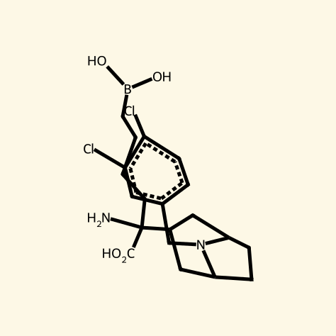 NC(CCCCB(O)O)(C(=O)O)C1CC2CCC(C1)N2Cc1ccc(Cl)c(Cl)c1